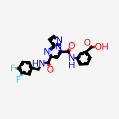 O=C(O)c1cccc(NC(=O)c2cc(C(=O)NCc3ccc(F)c(F)c3)nc3ccnn23)c1